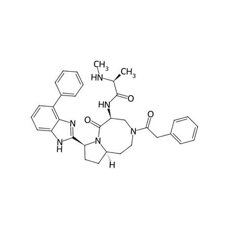 CN[C@@H](C)C(=O)N[C@H]1CN(C(=O)Cc2ccccc2)CC[C@H]2CC[C@@H](c3nc4c(-c5ccccc5)cccc4[nH]3)N2C1=O